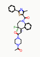 CC(=O)N1CCN(C(=O)/C=C2/c3ccccc3N(C(=O)c3sc(-c4ccccc4)nc3C)CCC2(F)F)CC1